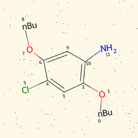 CCCCOc1cc(Cl)c(OCCCC)cc1N